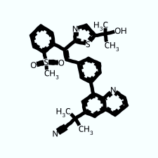 CC(C)(O)c1cnc(C(=Cc2cccc(-c3cc(C(C)(C)C#N)cc4cccnc34)c2)c2ccccc2S(C)(=O)=O)s1